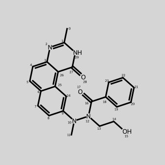 Cc1nc2ccc3ccc(N(C)N(CCO)C(=O)c4ccccc4)cc3c2c(=O)[nH]1